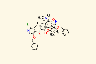 CN(C)[C@@H]1c2onc(OCc3ccccc3)c2C(=O)[C@@]2(O[Si](C)(C)C(C)(C)C)C(O)=C3C(=O)c4c(OCc5ccccc5)cnc(Br)c4C[C@H]3C[C@@H]12